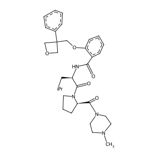 CC(C)C[C@@H](NC(=O)c1ccccc1OCC1(c2ccccc2)COC1)C(=O)N1CCC[C@@H]1C(=O)N1CCN(C)CC1